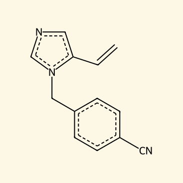 C=Cc1cncn1Cc1ccc(C#N)cc1